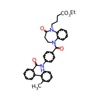 CCOC(=O)CCCN1C(=O)CCN(C(=O)c2ccc(NC(=O)c3ccccc3-c3ccccc3C)cc2)c2ccccc21